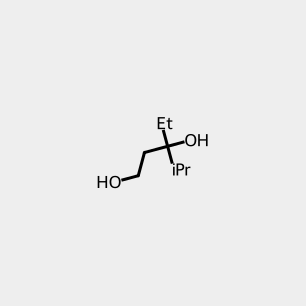 CCC(O)(CCO)C(C)C